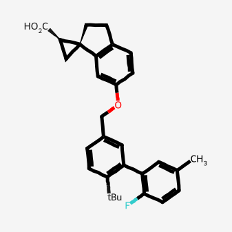 Cc1ccc(F)c(-c2cc(COc3ccc4c(c3)[C@]3(CC4)C[C@H]3C(=O)O)ccc2C(C)(C)C)c1